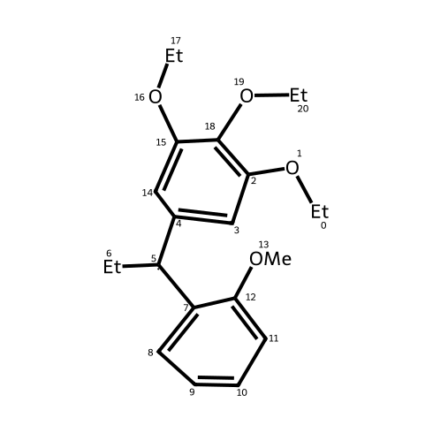 CCOc1cc([C](CC)c2ccccc2OC)cc(OCC)c1OCC